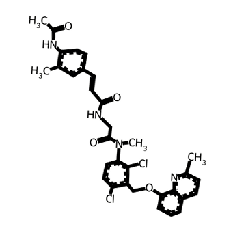 CC(=O)Nc1ccc(C=CC(=O)NCC(=O)N(C)c2ccc(Cl)c(COc3cccc4ccc(C)nc34)c2Cl)cc1C